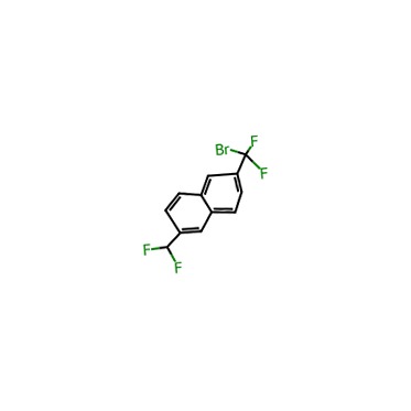 FC(F)c1ccc2cc(C(F)(F)Br)ccc2c1